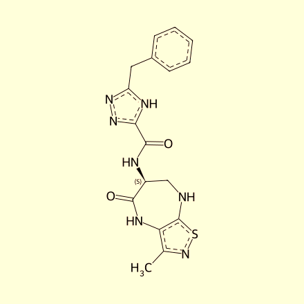 Cc1nsc2c1NC(=O)[C@@H](NC(=O)c1nnc(Cc3ccccc3)[nH]1)CN2